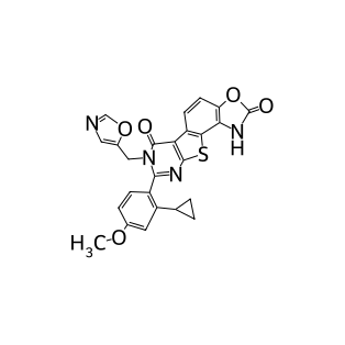 COc1ccc(-c2nc3sc4c(ccc5oc(=O)[nH]c54)c3c(=O)n2Cc2cnco2)c(C2CC2)c1